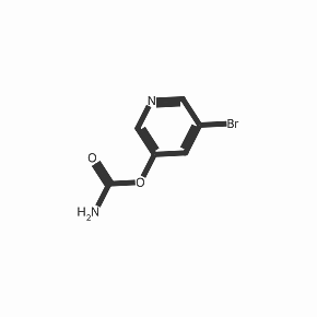 NC(=O)Oc1cncc(Br)c1